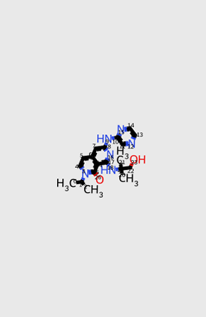 CC(C)n1ccc2cc(Nc3cnccn3)nc(NC(C)(C)CO)c2c1=O